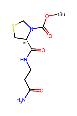 CC(C)(C)OC(=O)N1CSC[C@H]1C(=O)NCCC(N)=O